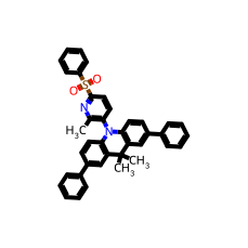 Cc1nc(S(=O)(=O)c2ccccc2)ccc1N1c2ccc(-c3ccccc3)cc2C(C)(C)c2cc(-c3ccccc3)ccc21